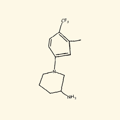 Cc1cc(N2CCCC(N)C2)ccc1C(F)(F)F